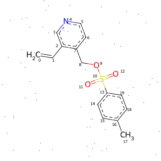 C=Cc1cnccc1COS(=O)(=O)c1ccc(C)cc1